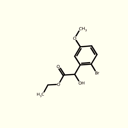 CCOC(=O)C(O)c1cc(OC)ccc1Br